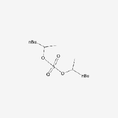 CCCCC(C)OS(=O)(=O)OC(C)CCCC